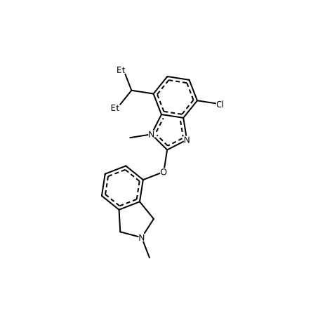 CCC(CC)c1ccc(Cl)c2nc(Oc3cccc4c3CN(C)C4)n(C)c12